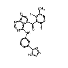 Nc1ccc(F)c(C(=O)c2c[nH]c3ncnc(Nc4cccc(-c5nnc[nH]5)c4)c23)c1F